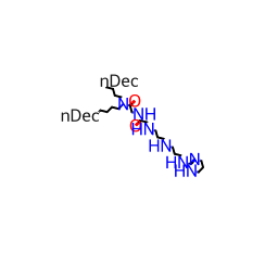 CCCCCCCCCCCCCCN(CCCCCCCCCCCCCC)C(=O)CNC(=O)CNCCCNCCCNC1=NCCCN1